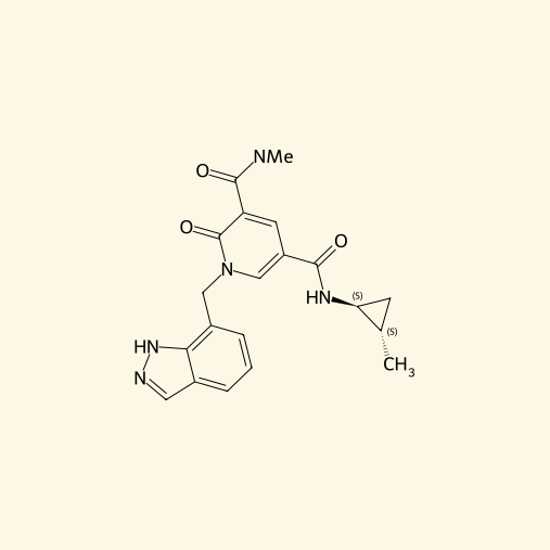 CNC(=O)c1cc(C(=O)N[C@H]2C[C@@H]2C)cn(Cc2cccc3cn[nH]c23)c1=O